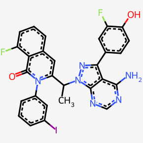 CC(c1cc2cccc(F)c2c(=O)n1-c1cccc(I)c1)n1nc(-c2ccc(O)c(F)c2)c2c(N)ncnc21